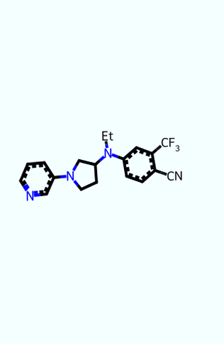 CCN(c1ccc(C#N)c(C(F)(F)F)c1)C1CCN(c2cccnc2)C1